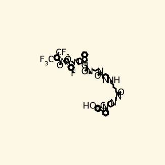 CN(CCN1CCC(N(C(=O)O)c2ccccc2-c2ccccc2)CC1)C(=O)CCCCCNc1ccc(C(=O)N(C)CCCN(C)C(=O)CO[C@H]2Cc3ccccc3C23CCN(CC[C@]2(c4ccc(F)cc4)CN(C(=O)c4cc(C(F)(F)F)cc(C(F)(F)F)c4)CO2)CC3)cn1